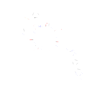 C=C(N)C[C@@H](O)[C@@H]1NC(=O)[C@H]([C@H](O)Cc2ccc(O)c(OS(=O)(=O)O)c2)NC(=O)[C@@H]2C[C@@H](O)CN2C(=O)[C@H]([C@@H](C)O)NC(=O)[C@@H](N(C)CC2CN(c3nnc(-c4ccc(-c5cnc(N6CCC(OC7CCCCC7)CC6)nc5)cc4)s3)C2)C[C@@H](O)CNC(=O)[C@@H]2[C@@H](O)[C@@H](C)CN2C1=O